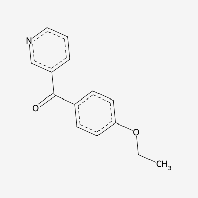 CCOc1ccc(C(=O)c2cccnc2)cc1